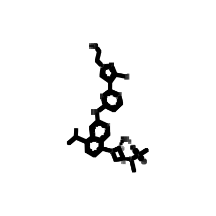 CC(C)c1ccc(N2C[C@H](N(C)S(C)(=O)=O)[C@H]2N)c2cnc(Nc3ccnc(-c4cn(CCO)nc4Cl)n3)cc12